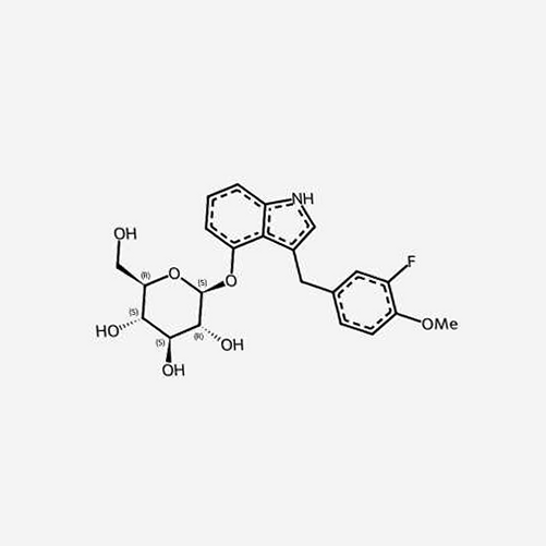 COc1ccc(Cc2c[nH]c3cccc(O[C@@H]4O[C@H](CO)[C@@H](O)[C@H](O)[C@H]4O)c23)cc1F